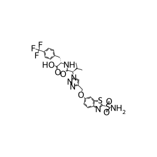 CC(C)[C@H](C(=O)N[C@@H](Cc1ccc(C(F)(F)F)cc1)C(=O)O)n1cc(COc2ccc3nc(S(N)(=O)=O)sc3c2)nn1